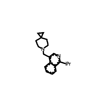 CC(C)c1ncc(CN2CCC3(CC2)CC3)c2ccccc12